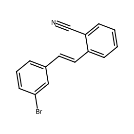 N#Cc1ccccc1C=Cc1cccc(Br)c1